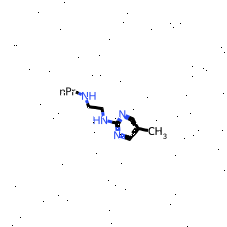 CCCNCCNc1ncc(C)cn1